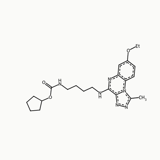 CCOc1ccc2c(c1)nc(NCCCCNC(=O)OC1CCCC1)c1nnc(C)n12